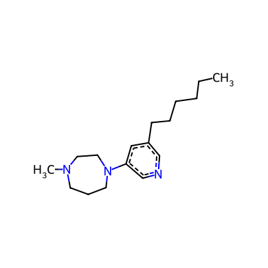 CCCCCCc1cncc(N2CCCN(C)CC2)c1